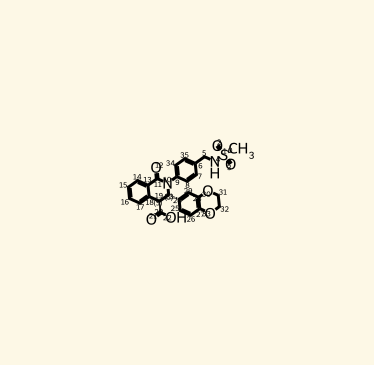 CS(=O)(=O)NCc1ccc(N2C(=O)c3ccccc3[C@H](C(=O)O)[C@H]2c2ccc3c(c2)OCCO3)cc1